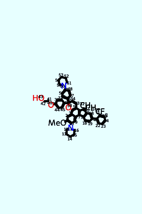 COc1cc2c3c(c4c(c2cc1N1CCCCC1)-c1ccc(-c2ccccc2C(F)(F)F)cc1C4(C)C)C=CC(c1ccc(OCCO)cc1)(c1ccc(N2CCCCC2)cc1)O3